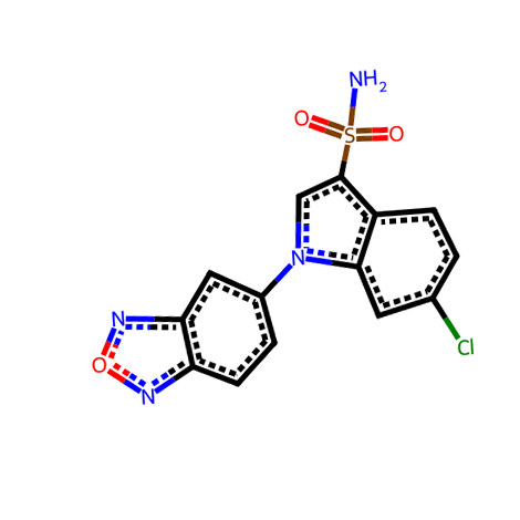 NS(=O)(=O)c1cn(-c2ccc3nonc3c2)c2cc(Cl)ccc12